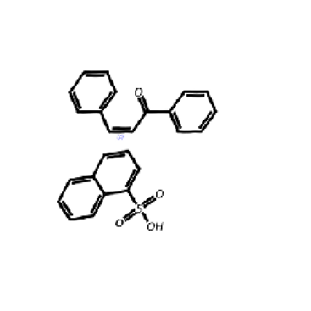 O=C(/C=C\c1ccccc1)c1ccccc1.O=S(=O)(O)c1cccc2ccccc12